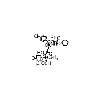 C#C[C@@](O)([C@H](O)[C@@H](COP(=O)(N[C@@H](C)C(=O)OC1CCCCC1)Oc1ccc(Cl)cc1)OC)n1ccc(=O)[nH]c1=O